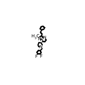 Cc1nn2c([C@H]3CCCN(Cc4ccc(F)c(F)c4)C3)ccnc2c1/C=C/c1ccccc1